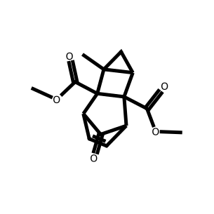 COC(=O)C12C3C=CC(C3=O)C1(C(=O)OC)C1(C)CC12